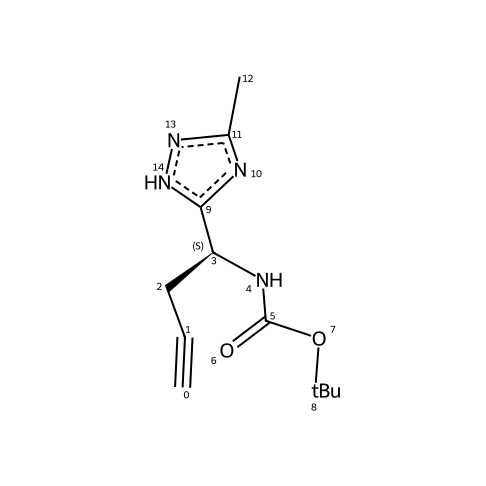 C#CC[C@H](NC(=O)OC(C)(C)C)c1nc(C)n[nH]1